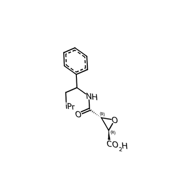 CC(C)CC(NC(=O)[C@@H]1O[C@H]1C(=O)O)c1ccccc1